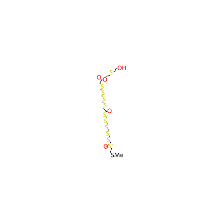 CSCC[S+]([O-])CSCSCSCSCSC(=O)CSCSCSCSCC(=O)OCCSCCO